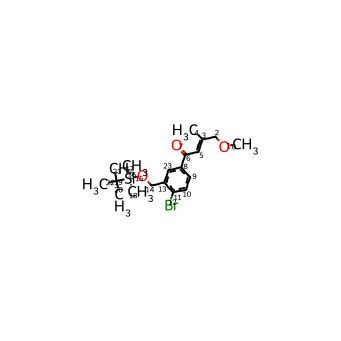 COC/C(C)=C/C(=O)c1ccc(Br)c(CO[Si](C)(C)C(C)(C)C)c1